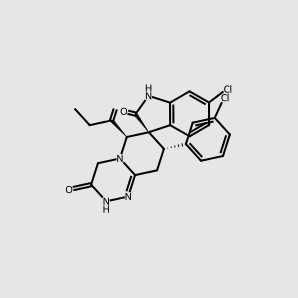 C=C(CC)[C@@H]1N2CC(=O)NN=C2C[C@@H](c2cccc(Cl)c2)[C@]12C(=O)Nc1cc(Cl)ccc12